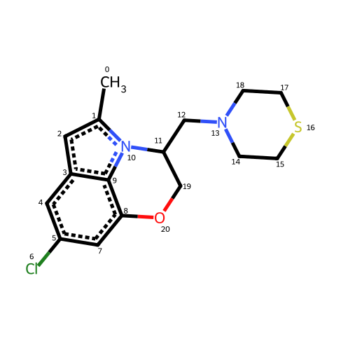 Cc1cc2cc(Cl)cc3c2n1C(CN1CCSCC1)CO3